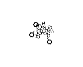 CC[C@H](NC(=O)OCc1ccccc1)C(=O)NC(Cc1ccccc1)C(=O)N[C@@H](Cc1ccccc1)C(=O)[C@@]1(C)CO1